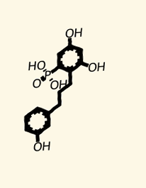 O=P(O)(O)c1cc(O)cc(O)c1CCCc1cccc(O)c1